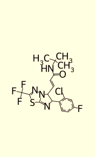 CC(C)(C)NC(=O)/C=C/C1C(c2ccc(F)cc2Cl)N=C2SC(C(F)(F)F)=NN21